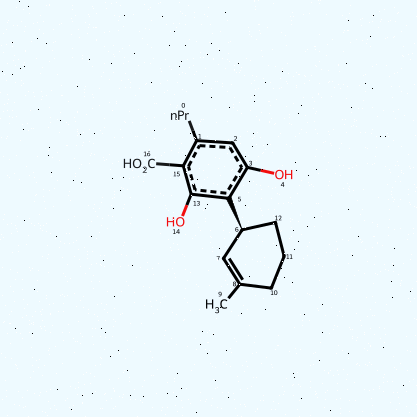 CCCc1cc(O)c([C@@H]2C=C(C)CCC2)c(O)c1C(=O)O